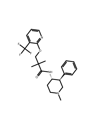 CN1CC[C@H](NC(=O)C(C)(C)COc2ncccc2C(F)(F)F)[C@@H](c2ccccc2)C1